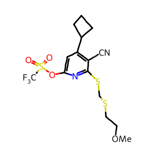 COCCSCSc1nc(OS(=O)(=O)C(F)(F)F)cc(C2CCC2)c1C#N